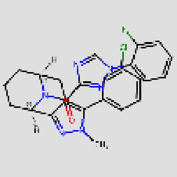 Cn1nc2c(c1-c1cccc(Cl)c1)C[C@@H]1CCC[C@H]2N1C(=O)c1ncn(-c2ccccc2F)n1